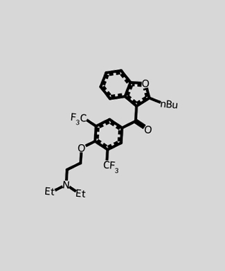 CCCCc1oc2ccccc2c1C(=O)c1cc(C(F)(F)F)c(OCCN(CC)CC)c(C(F)(F)F)c1